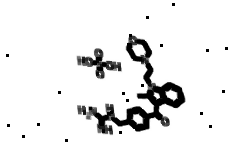 Cc1c(C(=O)c2ccc(CNC(=N)N)cc2)c2ccccc2n1CCN1CCOCC1.O=S(=O)(O)O